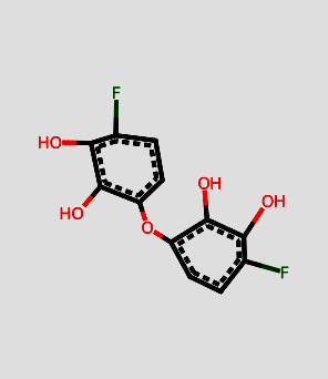 Oc1c(F)ccc(Oc2ccc(F)c(O)c2O)c1O